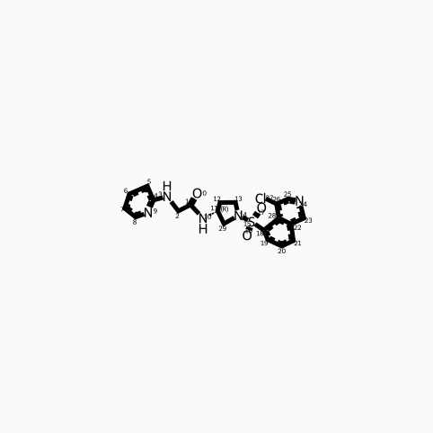 O=C(CNc1ccccn1)N[C@@H]1CCN(S(=O)(=O)c2cccc3cncc(Cl)c23)C1